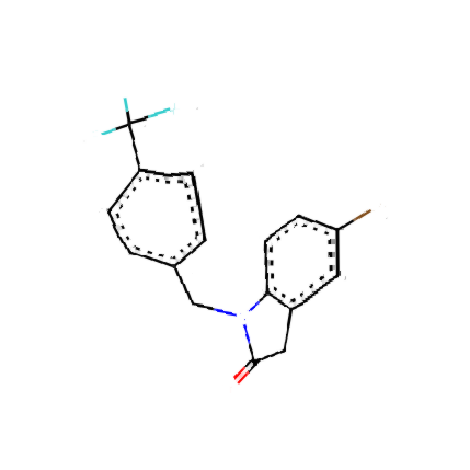 O=C1Cc2cc(Br)ccc2N1Cc1ccc(C(F)(F)F)cc1